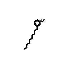 [CH2]CCCCCCCCCc1cccc(Br)c1